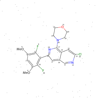 COc1cc(OC)c(F)c(-c2cc3cnc(Cl)cc3c(N3CCOCC3)n2)c1F